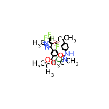 CC(C)OC(=O)c1cc(-c2nn(C)c(C(F)(F)F)c2Br)c(F)cc1Cl.CC(C)c1ccc(NC(=O)N(C)C)cc1